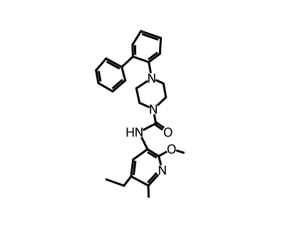 CCc1cc(NC(=O)N2CCN(c3ccccc3-c3ccccc3)CC2)c(OC)nc1C